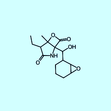 CCC1C(=O)NC2(C(O)C3CCCC4OC43)C(=O)OC12C